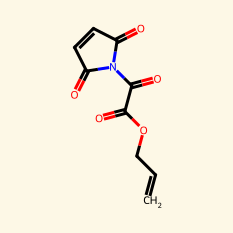 C=CCOC(=O)C(=O)N1C(=O)C=CC1=O